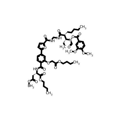 BOC(=O)C[C@H](NC(=O)c1ccc(-c2ccc(C(=O)NCNC(=O)[C@H](CCCCC)[C@@H](CC)N(C=O)OC(=O)c3ccc(OC)c(OC)c3)o2)cc1OCC(=O)OCCCC)C(=O)OCCCC